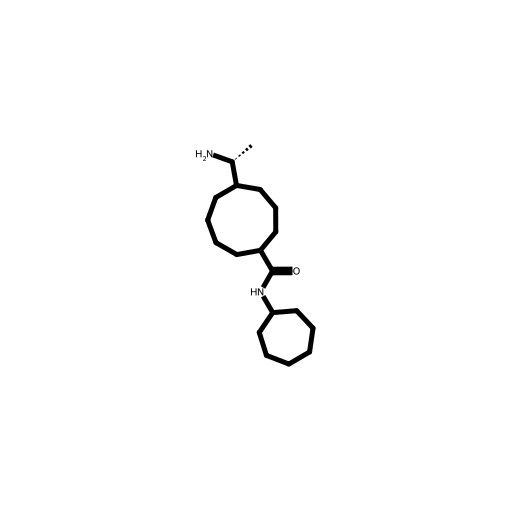 C[C@@H](N)C1CCCCC(C(=O)NC2CCCCCC2)CCC1